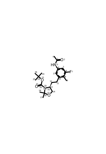 CC(=O)Nc1cc(F)c(C)c(CC[C@H]2COC(C)(C)N2C(=O)OC(C)(C)C)c1